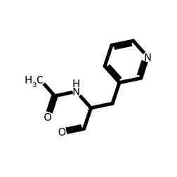 CC(=O)NC(C=O)Cc1cccnc1